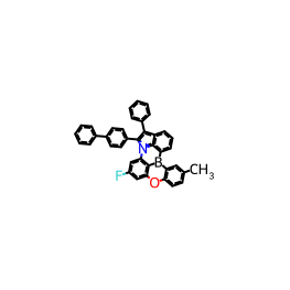 Cc1ccc2c(c1)B1c3c(cc(F)cc3-n3c(-c4ccc(-c5ccccc5)cc4)c(-c4ccccc4)c4cccc1c43)O2